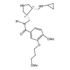 COCCCOc1cc(C(=O)N(C[C@@H]2CNC[C@@H]2CNC2CC2)C(C)C)ccc1OC